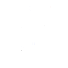 CC(C)n1ncc2c1CC(=O)NC2